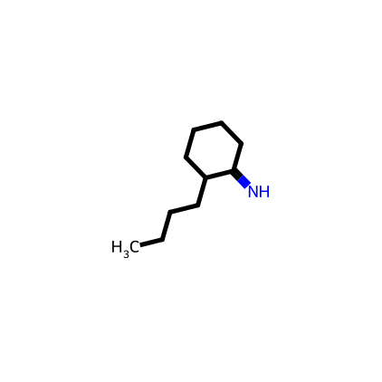 CCCCC1CCCCC1=N